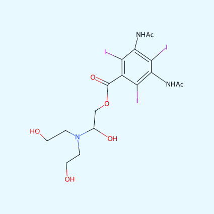 CC(=O)Nc1c(I)c(NC(C)=O)c(I)c(C(=O)OCC(O)N(CCO)CCO)c1I